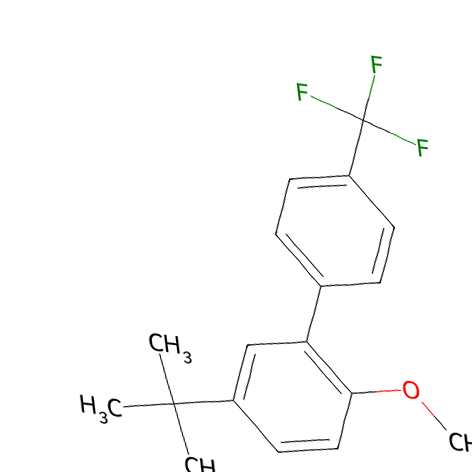 COc1ccc(C(C)(C)C)cc1-c1ccc(C(F)(F)F)cc1